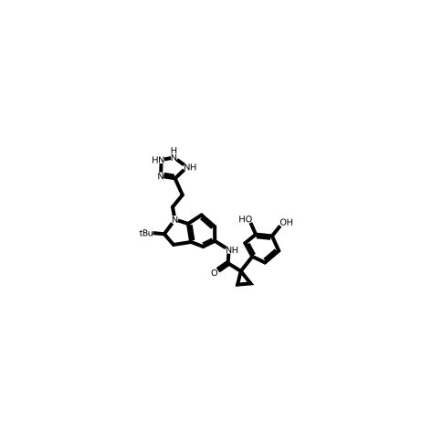 CC(C)(C)C1Cc2cc(NC(=O)C3(c4ccc(O)c(O)c4)CC3)ccc2N1CCC1=NNNN1